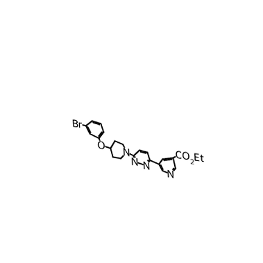 CCOC(=O)c1cncc(-c2ccc(N3CCC(Oc4cccc(Br)c4)CC3)nn2)c1